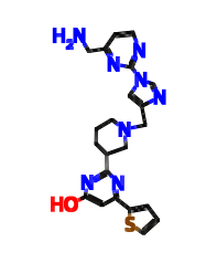 NCc1ccnc(-n2cnc(CN3CCCC(c4nc(O)cc(-c5cccs5)n4)C3)c2)n1